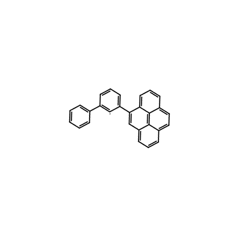 [c]1c(-c2ccccc2)cccc1-c1cc2cccc3ccc4cccc1c4c32